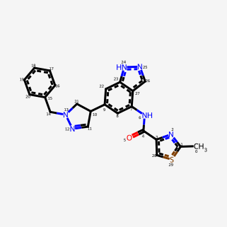 Cc1nc(C(=O)Nc2cc(C3C=NN(Cc4ccccc4)C3)cc3[nH]ncc23)cs1